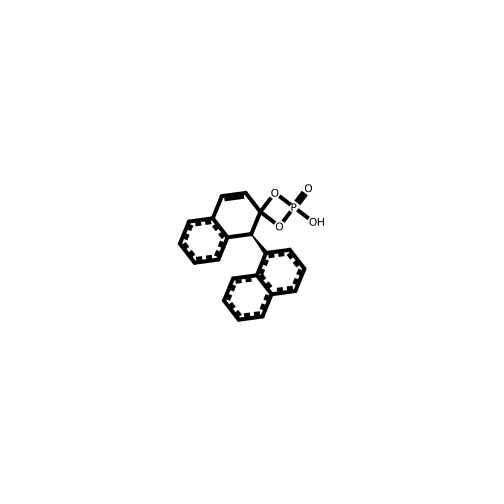 O=P1(O)OC2(C=Cc3ccccc3[C@@H]2c2cccc3ccccc23)O1